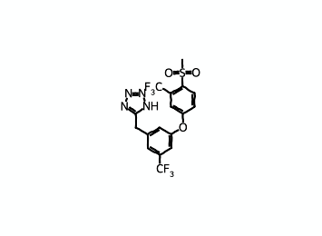 CS(=O)(=O)c1ccc(Oc2cc(Cc3nnn[nH]3)cc(C(F)(F)F)c2)cc1C(F)(F)F